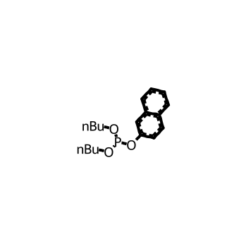 CCCCOP(OCCCC)Oc1ccc2ccccc2c1